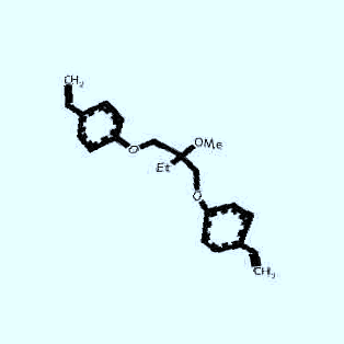 C=Cc1ccc(OCC(CC)(COc2ccc(C=C)cc2)OC)cc1